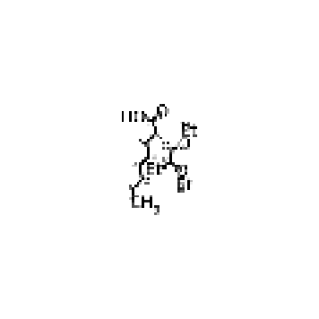 CCCCCCCC(=O)O.CCOCC(CC)OCC